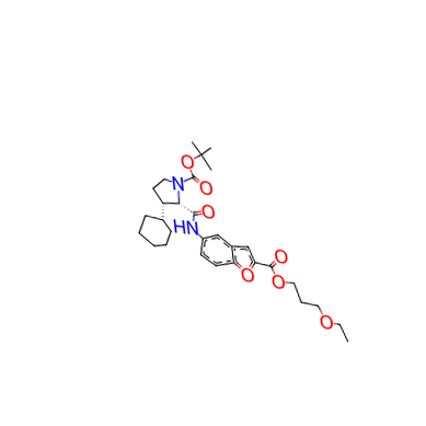 CCOCCCOC(=O)c1cc2cc(NC(=O)[C@@H]3[C@H](C4CCCCC4)CCN3C(=O)OC(C)(C)C)ccc2o1